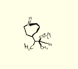 CC(C1CCNCC1)C(C)(S)C(=O)O